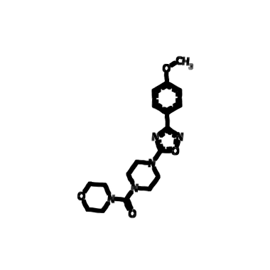 COc1ccc(-c2noc(N3CCN(C(=O)N4CCOCC4)CC3)n2)cc1